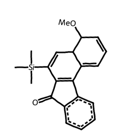 COC1C=CC=C2C3=C(C(=O)c4ccccc43)C([Si](C)(C)C)=CC21